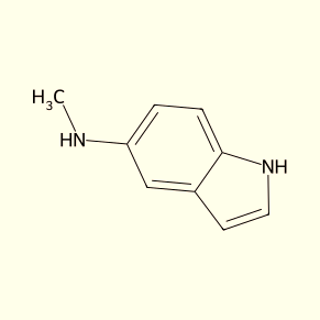 CNc1ccc2[nH]ccc2c1